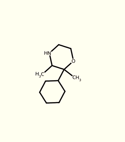 CC1NCCOC1(C)C1CCCCC1